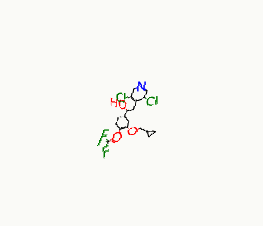 O[C@@H](C[C@@H]1C(Cl)C=NC[C@@H]1Cl)[C@H]1CCC(OC(F)F)=C(OCC2CC2)C1